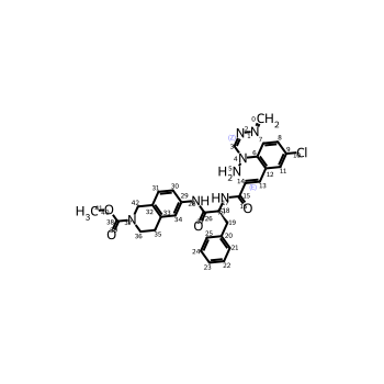 C=N/N=C\N(N)c1ccc(Cl)cc1/C=C/C(=O)N[C@@H](Cc1ccccc1)C(=O)Nc1ccc2c(c1)CCN(C(=O)OC)C2